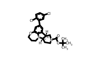 CC(C)(C)OC(=O)N1CC[C@H]2[C@@H](C1)c1cc(-c3cc(Cl)ccc3Cl)cc3c1N2CCCO3